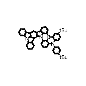 CC(C)(C)c1ccc(N2c3ccc(C(C)(C)C)cc3B3c4c2cccc4-n2c4c3cccc4c3cc4c5ccccc5n5c6ccccc6c(c32)c45)cc1